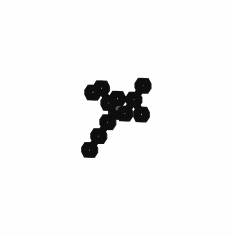 c1ccc(-c2ccc(-c3ccc(N(c4ccc(-c5cccc6ccccc56)cc4)c4cccc(-c5c(-c6ccccc6)cc(-c6ccccc6)cc5-c5ccccc5)c4)cc3)cc2)cc1